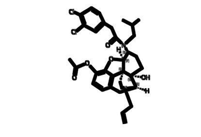 C=CCN1CC[C@]23c4c5ccc(OC(C)=O)c4O[C@H]2[C@@H](N(CC(C)C)C(=O)Cc2ccc(Cl)c(Cl)c2)CC[C@@]3(O)[C@H]1C5